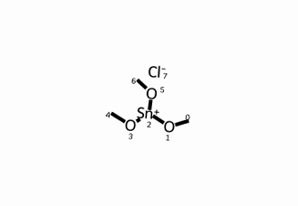 C[O][Sn+]([O]C)[O]C.[Cl-]